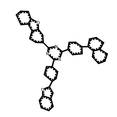 c1ccc2oc(-c3ccc(-c4nc(-c5ccc(-c6cccc7ccccc67)cc5)nc(-c5ccc6c(c5)oc5ccccc56)n4)cc3)cc2c1